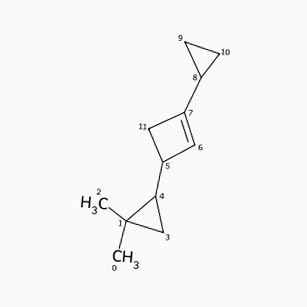 CC1(C)CC1C1C=C(C2CC2)C1